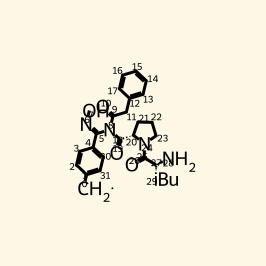 [CH2]c1ccc(C(=NO)N(C(=O)Cc2ccccc2)C(=O)[C@@H]2CCCN2C(=O)[C@@H](N)[C@@H](C)CC)cc1